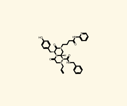 C=CCN1CC(=O)N2[C@@H](Cc3ccc(O)cc3)C(=O)N(CCCC(=O)Nc3ccccn3)C[C@@H]2N1C(=O)NCc1ccccc1